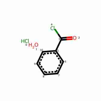 Cl.O.O=C(Cl)c1ccccc1